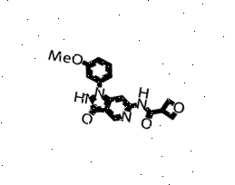 COc1cccc(-n2[nH]c(=O)c3cnc(NC(=O)C4COC4)cc32)c1